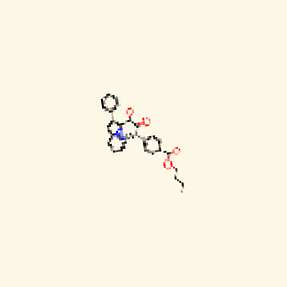 CCCCOC(=O)c1ccc([AsH]C(=O)C(=O)c2c(-c3ccccc3)cc3ccccn23)cc1